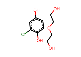 OCCOCCO.Oc1ccc(O)c(Cl)c1